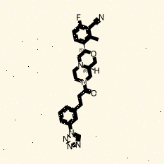 Cc1c([C@H]2CN3CCN(C(=O)CCc4cccc(-n5cnnn5)c4)C[C@@H]3CO2)ccc(F)c1C#N